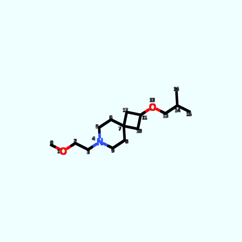 COCCN1CCC2(CC1)CC(OCC(C)C)C2